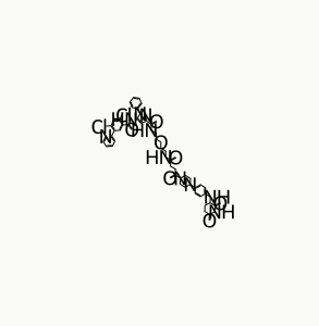 O=C(CCC(=O)N1CCN(c2ccc(NC3CCC(=O)NC3=O)cc2)CC1)NCCOCCNC(=O)c1cc(NC(=O)c2cc(-c3ccccn3)c(Cl)cc2Cl)n(-c2ccccc2)n1